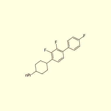 CCCC1CCC(c2ccc(-c3ccc(F)cc3)c(F)c2F)CC1